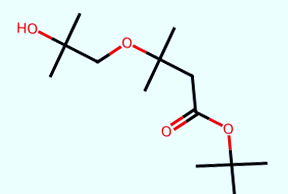 CC(C)(O)COC(C)(C)CC(=O)OC(C)(C)C